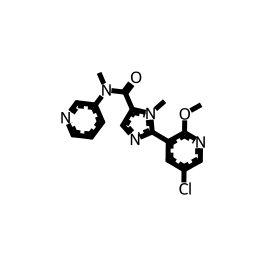 COc1ncc(Cl)cc1-c1ncc(C(=O)N(C)c2cccnc2)n1C